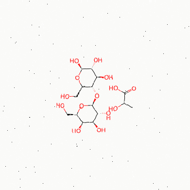 CC(O)C(=O)O.OC[C@H]1O[C@@H](O[C@H]2[C@H](O)[C@@H](O)[C@H](O)O[C@@H]2CO)[C@H](O)[C@@H](O)[C@H]1O